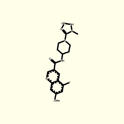 COc1cc(F)c2cc(C(=O)NC3CCN(C4=NNNN4C)CC3)cnc2c1